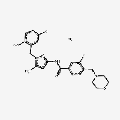 Cc1cc(NC(=O)c2ccc(CN3CCOCC3)c(F)c2)nn1Cc1cc(Cl)ccc1OCC(C)C.Cl